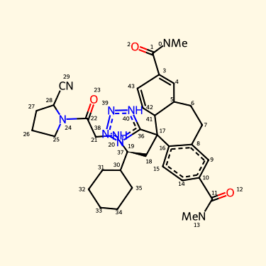 CNC(=O)C1=CC2CCc3cc(C(=O)NC)ccc3C(C[C@H](NCC(=O)N3CCCC3C#N)C3CCCCC3)(c3nnn[nH]3)C2C=C1